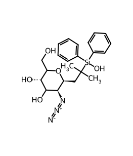 CC(C)(C[C@@H]1OC(CO)[C@@H](O)C(O)[C@@H]1N=[N+]=[N-])[Si](O)(c1ccccc1)c1ccccc1